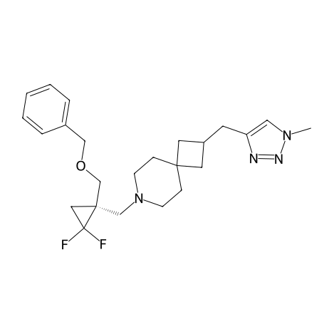 Cn1cc(CC2CC3(CCN(C[C@@]4(COCc5ccccc5)CC4(F)F)CC3)C2)nn1